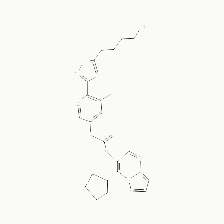 Cc1cc(NC(=O)Nc2cnc3ccnn3c2C2CCCC2)cnc1-c1noc(CCCCO)n1